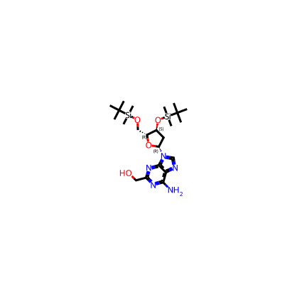 CC(C)(C)[Si](C)(C)OC[C@H]1O[C@@H](n2cnc3c(N)nc(CO)nc32)C[C@@H]1O[Si](C)(C)C(C)(C)C